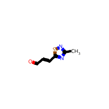 Cc1nsc(C=CC=O)n1